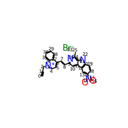 C#CC[n+]1ccc(/C=C/c2cc3c4cc([N+](=O)[O-])ccc4n(C)c3c(C)n2)c2ccccc21.[Br-]